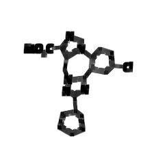 CCOC(=O)c1ncn2c1Cn1nc(-c3ccccc3)nc1-c1cc(Cl)ccc1-2